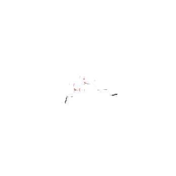 C=CCCCC(=O)OC(=O)CC=C